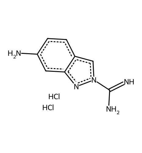 Cl.Cl.N=C(N)n1cc2ccc(N)cc2n1